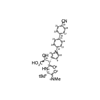 CNC(=O)[C@@H](NC(=O)[C@@H](c1ccn(-c2ccc(-c3ccc(C#N)cc3)cc2)c1)[C@H](O)C(=O)O)C(C)(C)C